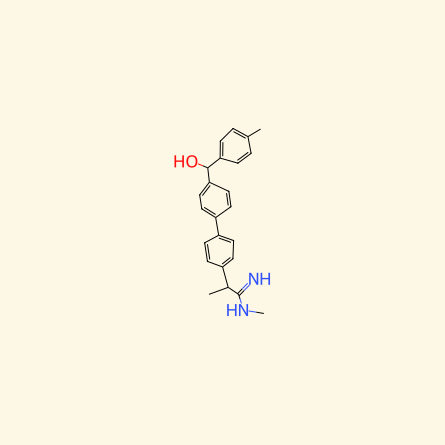 CNC(=N)C(C)c1ccc(-c2ccc(C(O)c3ccc(C)cc3)cc2)cc1